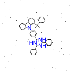 CC1(C)c2ccccc2-c2ccc3c4ccccc4n(-c4ccc(C5NC(c6ccccc6)NC(c6ccccc6)N5)cc4)c3c21